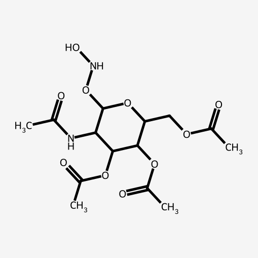 CC(=O)NC1C(ONO)OC(COC(C)=O)C(OC(C)=O)C1OC(C)=O